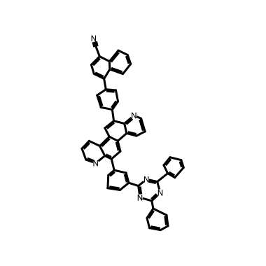 N#Cc1ccc(-c2ccc(-c3cc4c5cccnc5c(-c5cccc(-c6nc(-c7ccccc7)nc(-c7ccccc7)n6)c5)cc4c4cccnc34)cc2)c2ccccc12